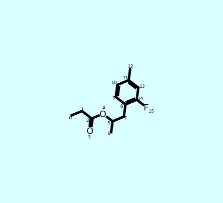 CCC(=O)OC(C)Cc1ccc(C)cc1F